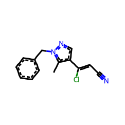 Cc1c(C(Cl)=CC#N)cnn1Cc1ccccc1